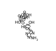 Nc1ncnc2c1ncn2[C@H]1C[C@@H](O)[C@@H](COP(=O)(O)OP(=O)(O)OP(=O)(O)O)BO1